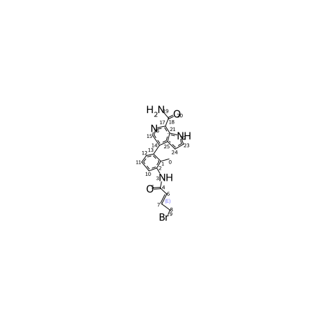 Cc1c(NC(=O)/C=C/CBr)cccc1-c1cnc(C(N)=O)c2[nH]ccc12